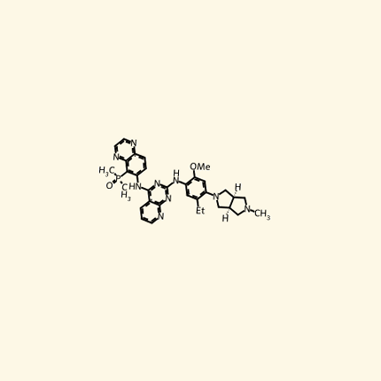 CCc1cc(Nc2nc(Nc3ccc4nccnc4c3P(C)(C)=O)c3cccnc3n2)c(OC)cc1N1C[C@H]2CN(C)C[C@H]2C1